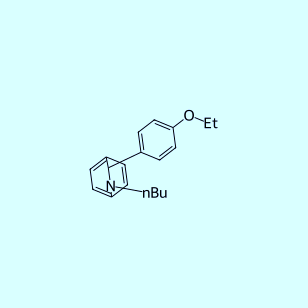 CCCCN1c2ccc(cc2)C1c1ccc(OCC)cc1